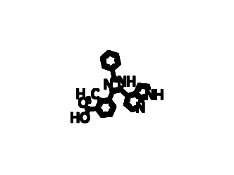 Cc1c(C(=O)O)cccc1-c1nc(-c2ccccc2)[nH]c1-c1ccnc2[nH]ccc12